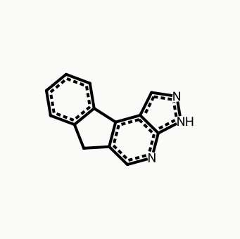 c1ccc2c(c1)Cc1cnc3[nH]ncc3c1-2